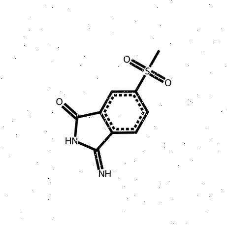 CS(=O)(=O)c1ccc2c(c1)C(=O)NC2=N